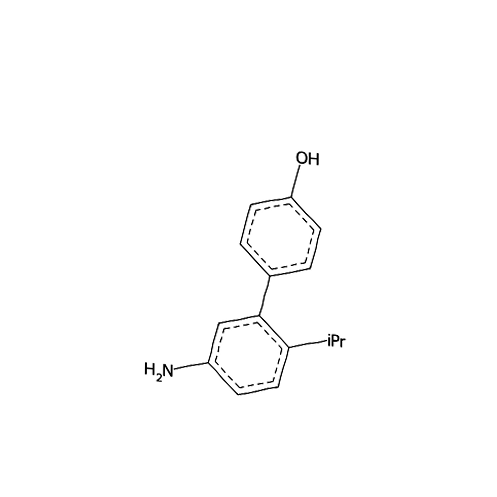 CC(C)c1ccc(N)cc1-c1ccc(O)cc1